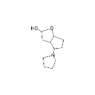 OC1CC2C(CCC2N2CCCC2)O1